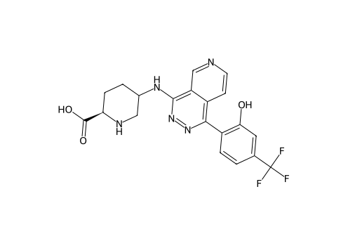 O=C(O)[C@H]1CCC(Nc2nnc(-c3ccc(C(F)(F)F)cc3O)c3ccncc23)CN1